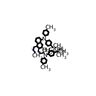 C=C/C=C\c1c(/C=C\C(=C)N(c2ccc(C)cc2)c2ccc(C(C)(C)C)cc2)ccc2c(N(c3ccc(C)cc3)c3ccc(C(C)(C)C)cc3)cccc12